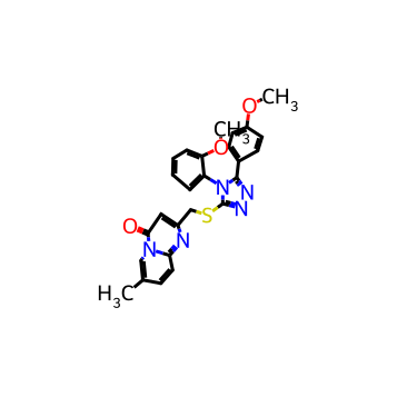 COc1ccc(-c2nnc(SCc3cc(=O)n4cc(C)ccc4n3)n2-c2ccccc2OC)cc1